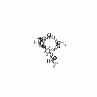 CN1CCCN(C)C(=O)COc2cc(ccc2OCC(=O)NC2CC2)/N=C2/N=CNc3[nH]cc(c32)C1